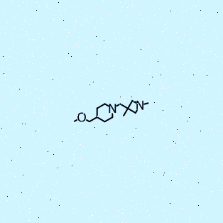 COCC1CCN(CC2(C)CN(C)C2)CC1